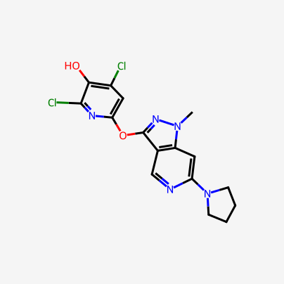 Cn1nc(Oc2cc(Cl)c(O)c(Cl)n2)c2cnc(N3CCCC3)cc21